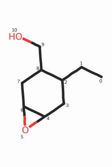 CCC1CC2OC2CC1CO